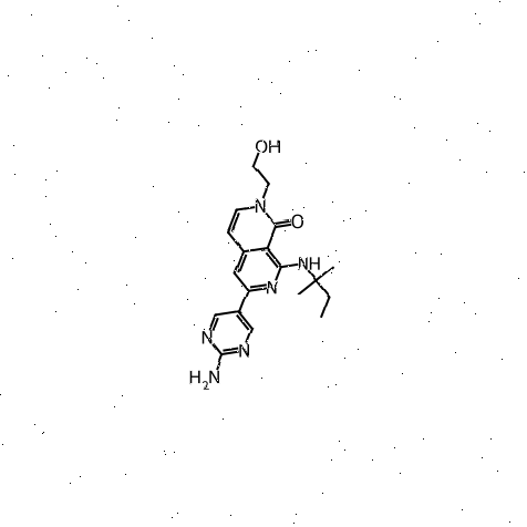 CCC(C)(C)Nc1nc(-c2cnc(N)nc2)cc2ccn(CCO)c(=O)c12